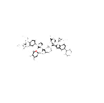 CCP(=O)(CC)c1ccc(-n2ccn(-c3c4c(nn3-c3cc(C)c(F)c(C)c3)CCN(C(=O)c3cc5cc(C6CCOCC6)ccc5n3[C@@]3(c5noc(=O)[nH]5)C[C@@H]3C)[C@H]4C)c2=O)cc1NS(C)(=O)=O